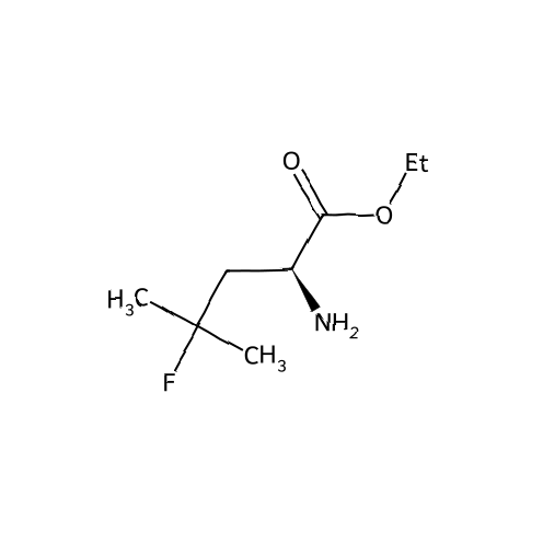 CCOC(=O)[C@@H](N)CC(C)(C)F